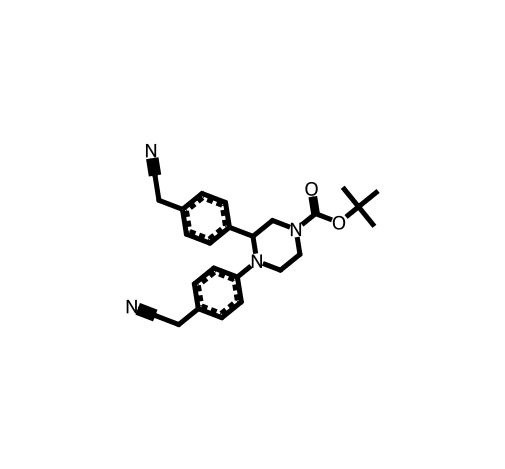 CC(C)(C)OC(=O)N1CCN(c2ccc(CC#N)cc2)C(c2ccc(CC#N)cc2)C1